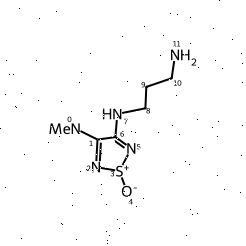 CNc1n[s+]([O-])nc1NCCCN